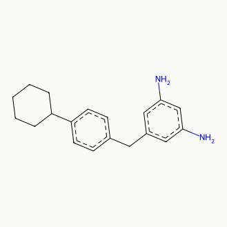 Nc1cc(N)cc(Cc2ccc(C3CCCCC3)cc2)c1